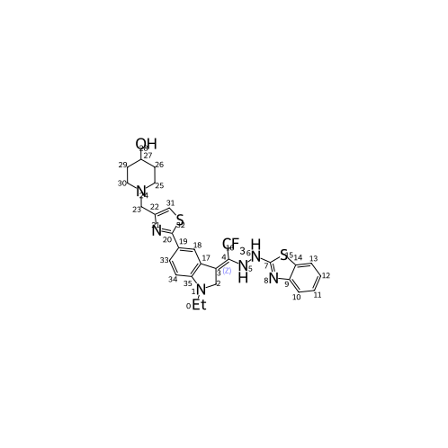 CCN1C/C(=C(\NNc2nc3ccccc3s2)C(F)(F)F)c2cc(-c3nc(CN4CCC(O)CC4)cs3)ccc21